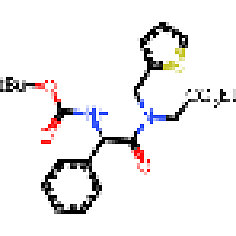 CCOC(=O)CN(Cc1cccs1)C(=O)[C@H](NC(=O)OC(C)(C)C)c1ccccc1